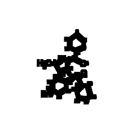 Cc1nn(C(=O)c2ccccc2)c2c1c1cc(Br)ccc1n2C(=O)c1ccccc1